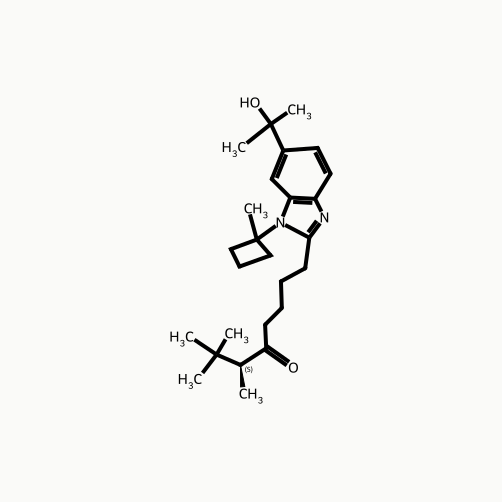 C[C@H](C(=O)CCCCc1nc2ccc(C(C)(C)O)cc2n1C1(C)CCC1)C(C)(C)C